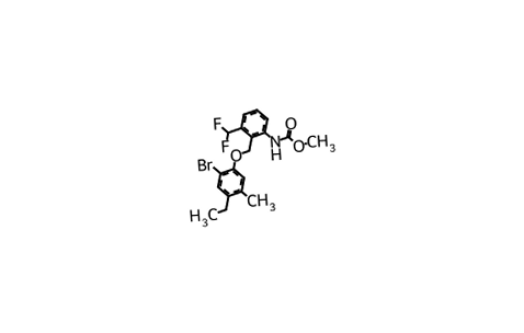 CCc1cc(Br)c(OCc2c(NC(=O)OC)cccc2C(F)F)cc1C